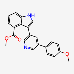 COC(=O)c1cccc2[nH]cc(-c3cncc(-c4ccc(OC)cc4)c3)c12